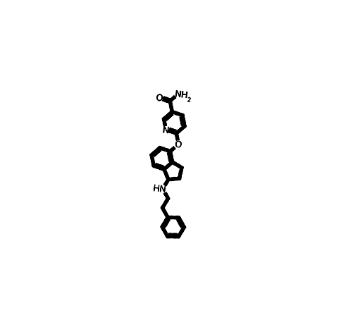 NC(=O)c1ccc(Oc2cccc3c2CCC3NCCc2ccccc2)nc1